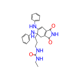 CCNC(=O)NCCCC1(Nc2ccccc2)CC2=C(C=C1Nc1ccccc1)C(=O)NC2=O